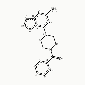 Nc1nc(N2CCN(C(=O)c3ccccn3)CC2)c2ccsc2n1